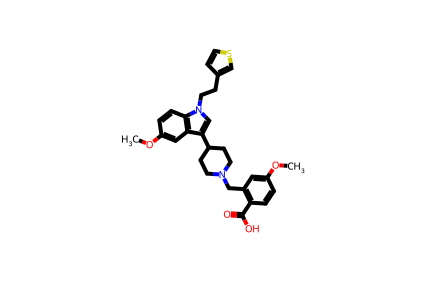 COc1ccc(C(=O)O)c(CN2CCC(c3cn(CCc4ccsc4)c4ccc(OC)cc34)CC2)c1